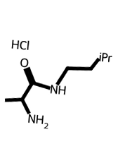 CC(C)CCNC(=O)C(C)N.Cl